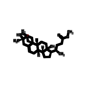 COC[C@]12CC[C@](C)(O)CC1=CC[C@@H]1[C@@H]2CC[C@]2(C)[C@@H]([C@H](C)CCC(=O)OC)CC[C@@H]12